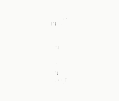 CCOC(=O)N1CC2(CC(N3CCC4(CC3)CNC(=O)C4)C2)C1